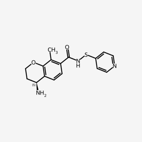 Cc1c(C(=O)NSc2ccncc2)ccc2c1OCC[C@@H]2N